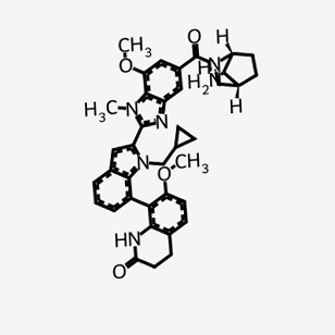 COc1ccc2c(c1-c1cccc3cc(-c4nc5cc(C(=O)N6C[C@H]7CC[C@@H]6[C@@H]7N)cc(OC)c5n4C)n(CC4CC4)c13)NC(=O)CC2